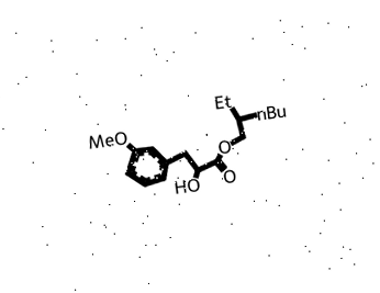 CCCCC(CC)COC(=O)C(O)Cc1cccc(OC)c1